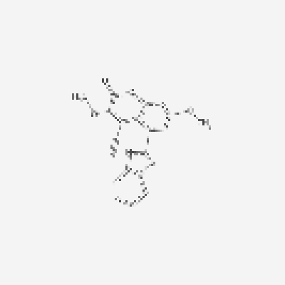 COc1cc(-c2nc3ccccc3s2)c2c(C#N)c(OC)c(=O)oc2c1